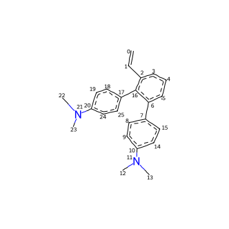 C=Cc1cc[c]c(-c2ccc(N(C)C)cc2)c1-c1ccc(N(C)C)cc1